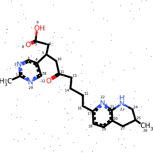 Cc1ncc(C(CC(=O)O)CC(=O)CCCCc2ccc3c(n2)NCC(C)C3)cn1